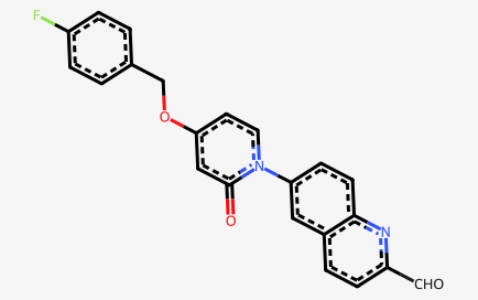 O=Cc1ccc2cc(-n3ccc(OCc4ccc(F)cc4)cc3=O)ccc2n1